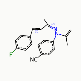 C=C(C)N(/N=C(C)\C=C\c1ccc(F)cc1)c1ccc(C#N)cc1